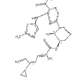 C=C/C(=C\C=C(/C)C(=O)N[C@@H]1CCCN(c2cnc(C(N)=O)c(Nc3cnn(C)c3)n2)[C@@H]1C)C1CC1